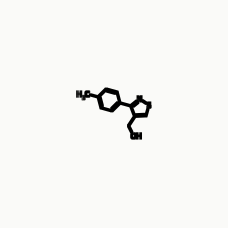 Cc1ccc(-c2nscc2CO)cc1